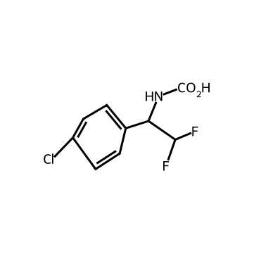 O=C(O)NC(c1ccc(Cl)cc1)C(F)F